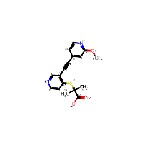 COc1cc(C#Cc2cnccc2SC(C)(C)C(=O)O)ccn1